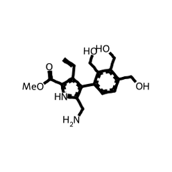 C=Cc1c(C(=O)OC)[nH]c(CN)c1-c1ccc(CO)c(CO)c1CO